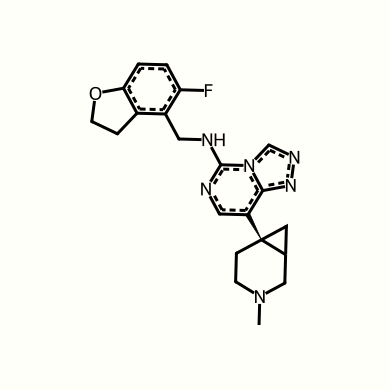 CN1CC[C@]2(c3cnc(NCc4c(F)ccc5c4CCO5)n4cnnc34)CC2C1